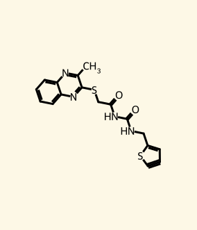 Cc1nc2ccccc2nc1SCC(=O)NC(=O)NCc1cc#cs1